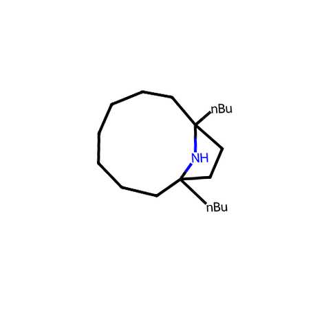 CCCCC12CCCCCCCC(CCCC)(CC1)N2